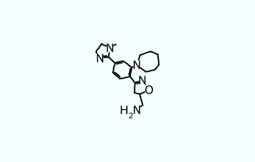 CN1CCN=C1c1ccc(C2=NOC(CN)C2)c(N2CCCCCC2)c1